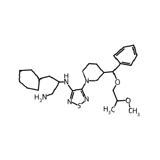 COC(C)COC(c1ccccc1)C1CCCN(c2nsnc2NC(CN)CC2CCCCC2)C1